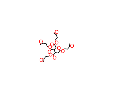 O=C(CC(C(=O)OCCC1CO1)C(CC(=O)OCCC1CO1)C(=O)OCCC1CO1)OCCC1CO1